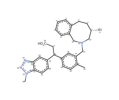 CC[C@H]1CCc2ccccc2CN(Cc2cc(C(CC(=O)O)c3ccc4c(c3)nnn4C)ccc2C)C1